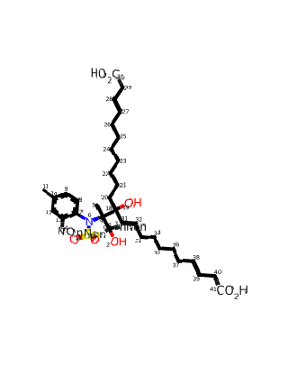 CCCCCCCCCC(O)(CCCCCCCCC)C(C)(N(c1ccc(C)cc1[N+](=O)[O-])[SH](=O)=O)C(O)(CCCCCCCCCCC(=O)O)CCCCCCCCCCC(=O)O